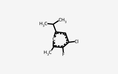 Cc1cc(C(C)C)cc(Cl)c1F